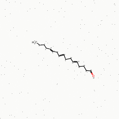 CCCC/C=C/C/C=C/CC/C=C/CCCC=O